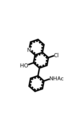 CC(=O)Nc1ccccc1-c1cc(Cl)c2cccnc2c1O